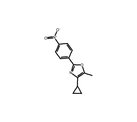 Cc1oc(-c2ccc([N+](=O)[O-])cc2)nc1C1CC1